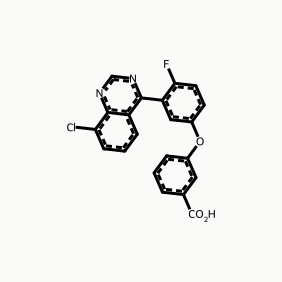 O=C(O)c1cccc(Oc2ccc(F)c(-c3ncnc4c(Cl)cccc34)c2)c1